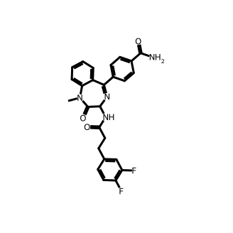 CN1C(=O)C(NC(=O)CCc2ccc(F)c(F)c2)N=C(c2ccc(C(N)=O)cc2)c2ccccc21